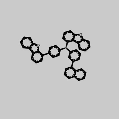 c1cc(-c2cccc3ccccc23)cc(N(c2ccc(-c3cccc4c3oc3ccccc34)cc2)c2cccc3oc4ccccc4c23)c1